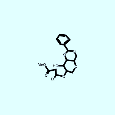 CCC(CC(=O)OC)OC1COC2COC(c3ccccc3)OC2C1O